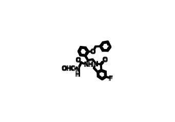 O=CNC(=O)NC(CN1Cc2ccc(F)cc2C1=O)c1ccccc1OCc1ccccc1